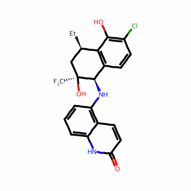 CC[C@@H]1C[C@@](O)(C(F)(F)F)[C@H](Nc2cccc3[nH]c(=O)ccc23)c2ccc(Cl)c(O)c21